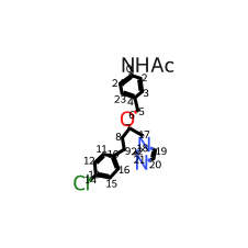 CC(=O)Nc1ccc(COC(CCc2ccc(Cl)cc2)Cn2ccnc2)cc1